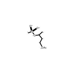 CC(=O)OCCC(C)OS(C)(=O)=O